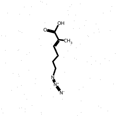 C/C(=C\CCCN=[N+]=[N-])C(=O)O